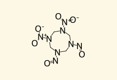 O=NN1CN(N=O)CN([N+](=O)[O-])CN([N+](=O)[O-])C1